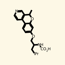 CC(C)CC(COc1ccc2c(c1)OC(C)c1cnccc1-2)NC(=O)O